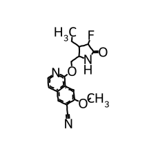 CCC1C(COc2nccc3cc(C#N)c(OC)cc23)NC(=O)C1F